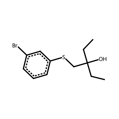 CCC(O)(CC)CSc1cccc(Br)c1